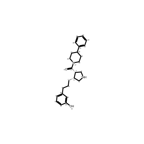 O=C([C@@H]1CNC[C@@H]1CCCc1cccc(O)c1)N1CCC(c2ccccc2)CC1